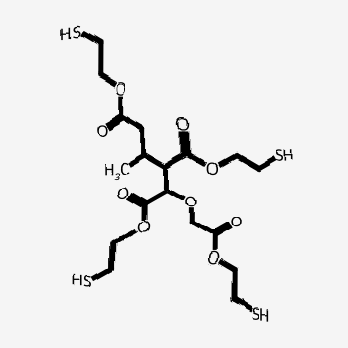 CC(CC(=O)OCCS)C(C(=O)OCCS)C(OCC(=O)OCCS)C(=O)OCCS